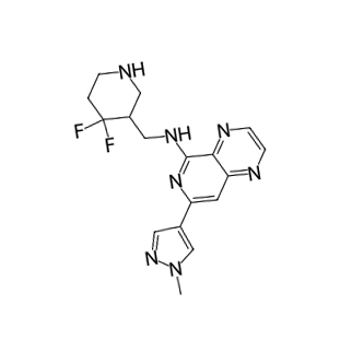 Cn1cc(-c2cc3nccnc3c(NCC3CNCCC3(F)F)n2)cn1